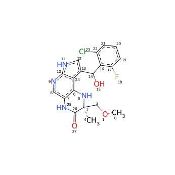 COC[C@]1(C)Nc2c(cnc3[nH]cc(C(O)c4c(F)cccc4Cl)c23)NC1=O